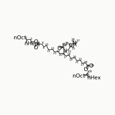 CCCCCCCCC(CCCCCCC)CCOC(=O)CCCCCCCCC(CCCCCCCCC(=O)OCC(CCCCCC)CCCCCCCC)N(CCCN(C)C)C(=O)CCCCC